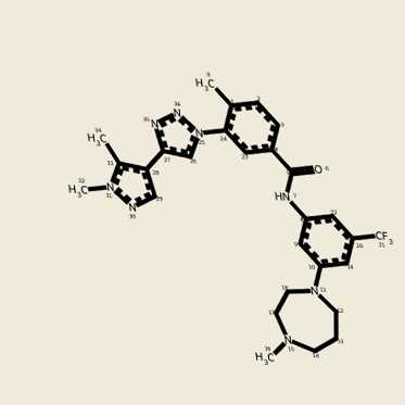 Cc1ccc(C(=O)Nc2cc(N3CCCN(C)CC3)cc(C(F)(F)F)c2)cc1-n1cc(-c2cnn(C)c2C)nn1